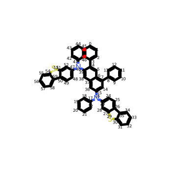 c1ccc(-c2cc3c(-c4ccccc4)cc(N(c4ccccc4)c4ccc5c(c4)sc4ccccc45)cc3cc2N(c2ccccc2)c2ccc3c(c2)sc2ccccc23)cc1